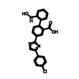 O=C(O)c1cc(-c2nc(-c3ccc(Cl)cc3)cs2)ccc1-c1ccccc1NO